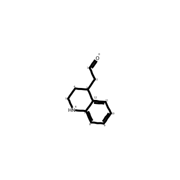 O=[C]CC1CCNc2ccccc21